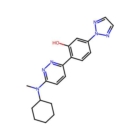 CN(c1ccc(-c2ccc(-n3nccn3)cc2O)nn1)C1CCCCC1